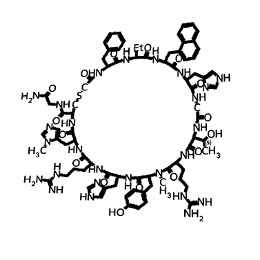 CCC1NC(=O)C(Cc2ccccc2)NC(=O)CSCC(C(=O)NCC(N)=O)NC(=O)C(Cc2cncn2C)NC(=O)C(CCCNC(=N)N)NC(=O)C(Cc2c[nH]cn2)NC(=O)C(Cc2ccc(O)cc2)N(C)C(=O)C(CCCNC(=N)N)NC(=O)C([C@H](C)O)NC(=O)CNC(=O)C(Cc2c[nH]cn2)NC(=O)C(Cc2cccc3ccccc23)NC1=O